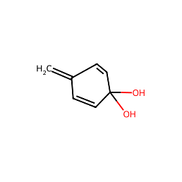 C=C1C=CC(O)(O)C=C1